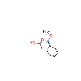 CON=C1C=CC=CC1CC(=O)O